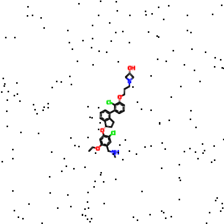 CCOc1cc(O[C@H]2CCc3c(-c4cccc(OCCCN5CC(O)C5)c4Cl)cccc32)c(Cl)cc1CNC